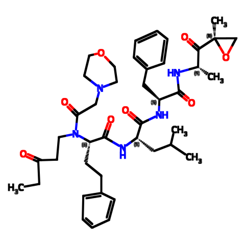 CCC(=O)CCN(C(=O)CN1CCOCC1)[C@@H](CCc1ccccc1)C(=O)N[C@@H](CC(C)C)C(=O)N[C@@H](Cc1ccccc1)C(=O)N[C@@H](C)C(=O)[C@@]1(C)CO1